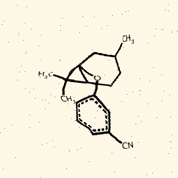 CC1CCC2C(C)(C)C2(Oc2c[c]cc(C#N)c2)C1